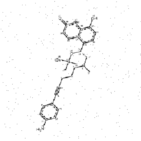 CN(CCCC#Cc1ccc(N)cc1)C[C@H](O[Si](C)(C)C(C)(C)C)c1ccc(O)c2[nH]c(=O)ccc12